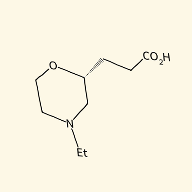 CCN1CCO[C@H](CCC(=O)O)C1